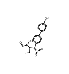 CCC(C(c1ccc(-c2ccc(OC)cc2)cc1)=S(=O)=O)N(O)C=O